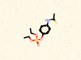 CCOP(=O)(OCC)Oc1ccc(NC(C)=S)cc1